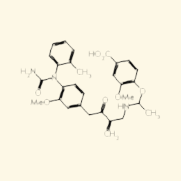 C=C(CNC(C)Oc1ccc(C(=O)O)cc1OC)C(=O)Cc1ccc(N(C(N)=O)c2ccccc2C)c(OC)c1